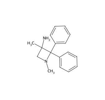 CN1CC(C)(N)C1(c1ccccc1)c1ccccc1